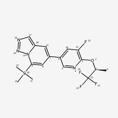 C[C@H](Oc1ncc(-c2cc([Si](C)(C)C)n3nncc3c2)cc1F)C(F)(F)F